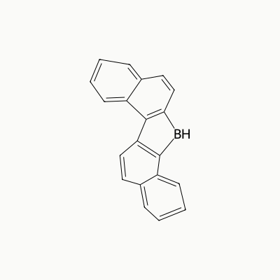 B1c2ccc3ccccc3c2-c2ccc3ccccc3c21